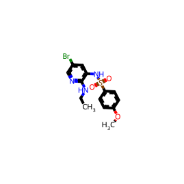 CCNc1ncc(Br)cc1NS(=O)(=O)c1ccc(OC)cc1